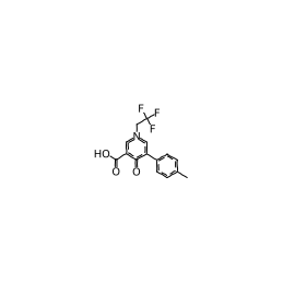 Cc1ccc(-c2cn(CC(F)(F)F)cc(C(=O)O)c2=O)cc1